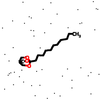 CCCCCCCCCCCC12OCC(CO1)CO2